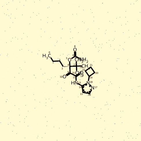 CCCC[C@@](OC(N)=O)(C(=O)C(=O)Nc1ccnn1C1CCC1)C(C)(C)C